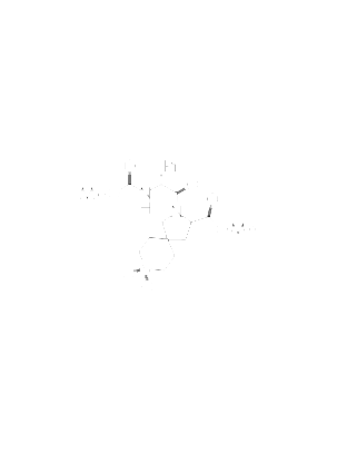 COC(=O)N[C@H](C(=O)N1CC2(CCS(=O)(=O)CC2)CC1C(=O)OC)C(C)C